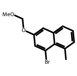 COCOc1cc(Br)c2c(C)cccc2c1